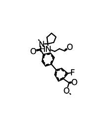 COC(=O)c1ccc(-c2ccc(C(=O)N(C)C3(NCCC=O)CCCC3)cc2)cc1F